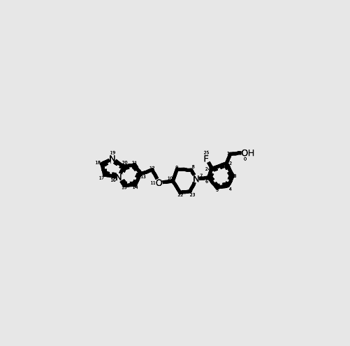 OCc1cccc(N2CCC(OCc3ccn4ccnc4c3)CC2)c1F